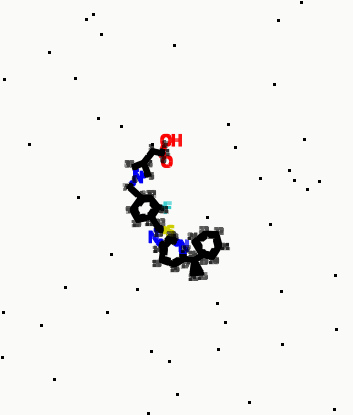 O=C(O)CC1CN(Cc2ccc(-c3nc4ccc(C5(c6ccccc6)C=C5)nc4s3)c(F)c2)C1